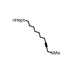 CCCCCCCCCCCCCCC#C[CH]NC